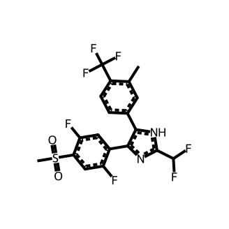 Cc1cc(-c2[nH]c(C(F)F)nc2-c2cc(F)c(S(C)(=O)=O)cc2F)ccc1C(F)(F)F